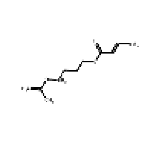 C=C(C)O[SiH2]CCCOC(=O)C=CC